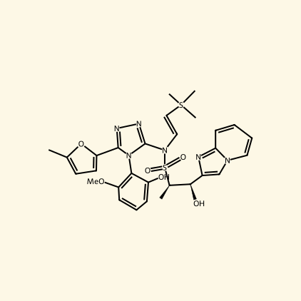 COc1cccc(O)c1-n1c(-c2ccc(C)o2)nnc1N(/C=C/S(C)(C)C)S(=O)(=O)[C@H](C)[C@H](O)c1cn2ccccc2n1